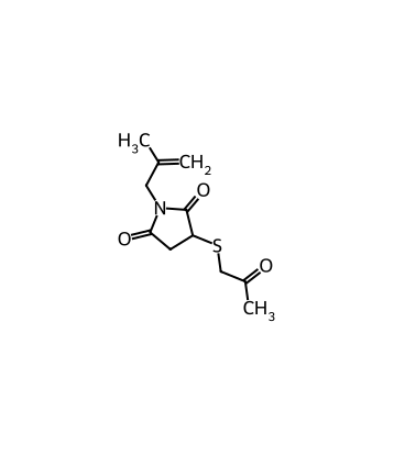 C=C(C)CN1C(=O)CC(SCC(C)=O)C1=O